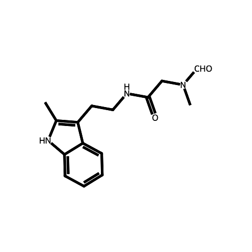 Cc1[nH]c2ccccc2c1CCNC(=O)CN(C)C=O